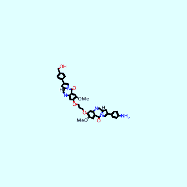 COc1cc2c(cc1OCCCOc1cc3c(cc1OC)C(=O)N1C=C(c4ccc(CO)cc4)C[C@H]1C=N3)N=C[C@@H]1CC(c3ccc(N)cc3)=CN1C2=O